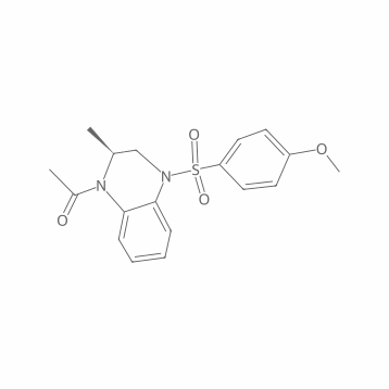 COc1ccc(S(=O)(=O)N2C[C@H](C)N(C(C)=O)c3ccccc32)cc1